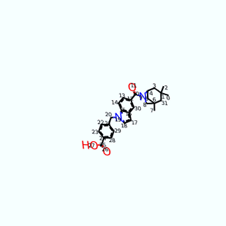 CC1(C)CC2CC(C)(CN2C(=O)c2ccc3c(ccn3Cc3ccc(C(=O)O)cc3)c2)C1